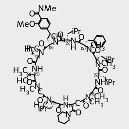 CNC(=O)c1ccc(CC[C@H]2C(=O)N(C)[C@@H](CC(C)C)C(=O)N[C@@H]([C@@H](C)O)C(=O)N(C)CC(=O)N(C)[C@@H](CC(C)C)C(=O)N[C@H](C(=O)N3CCCCC3)CC(=O)N(C)[C@@H](C)C(=O)N[C@@H](CC(C)C)C(=O)N(C)[C@@H](CC(C)C)C(=O)N(C)[C@@H](Cc3ccccc3)C(=O)N[C@@H](CC(C)C)C(=O)N2C)cc1OC